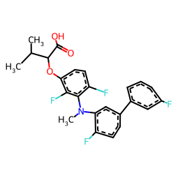 CC(C)C(Oc1ccc(F)c(N(C)c2cc(-c3cccc(F)c3)ccc2F)c1F)C(=O)O